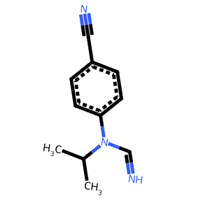 CC(C)N(C=N)c1ccc(C#N)cc1